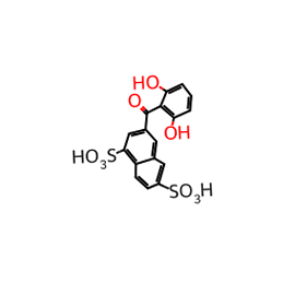 O=C(c1cc(S(=O)(=O)O)c2ccc(S(=O)(=O)O)cc2c1)c1c(O)cccc1O